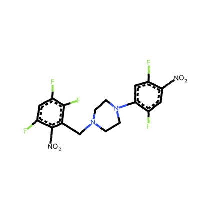 O=[N+]([O-])c1cc(F)c(N2CCN(Cc3c(F)c(F)cc(F)c3[N+](=O)[O-])CC2)cc1F